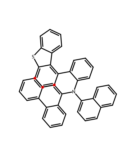 c1ccc(N(c2cccc3ccccc23)c2cc3ccccc3c3ccccc23)c(-c2cccc3sc4ccccc4c23)c1